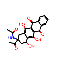 CC(=O)NC1(C(C)=O)Cc2c(O)c3c(c(O)c2C(O)C1)C(=O)c1ccccc1C3=O